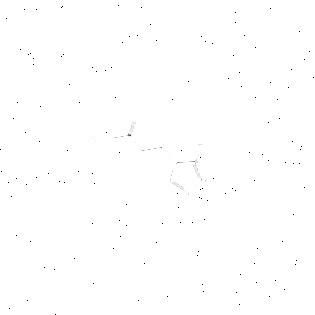 COC(=O)CCn1cncc1C=O